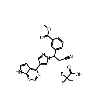 COC(=O)c1cccc(C(CC#N)n2cc(-c3ncnc4[nH]ccc34)cn2)c1.O=C(O)C(F)(F)F